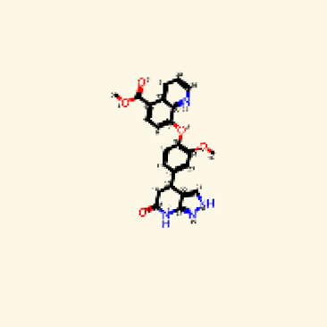 COC(=O)c1ccc(Oc2ccc(C3CC(=O)Nc4n[nH]cc43)cc2OC)c2ncccc12